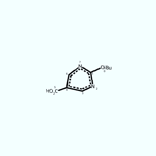 CC(C)COc1ncc(C(=O)O)cn1